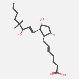 CCCCC(C)(C)[C@H](O)C=C[C@@H]1[C@@H](CC=CCCCC(=O)O)[C@@H](F)C[C@H]1O